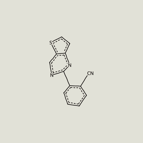 N#Cc1ccccc1-c1ncc2sccc2n1